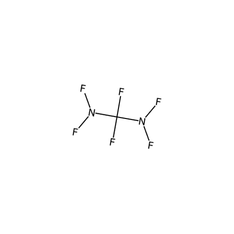 FN(F)C(F)(F)N(F)F